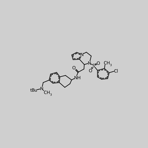 Cc1c(Cl)cccc1S(=O)(=O)N1CCn2cccc2C1CC(=O)NC1CCc2cc(CN(C)C(C)(C)C)ccc2C1